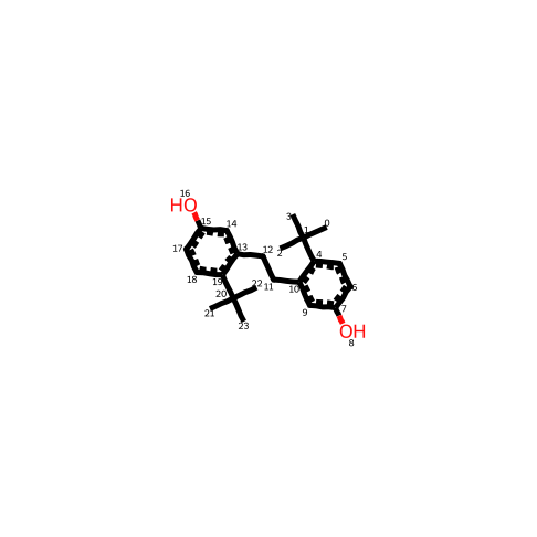 CC(C)(C)c1ccc(O)cc1CCc1cc(O)ccc1C(C)(C)C